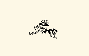 CS/C(=N\C(=O)c1cnc2c(c1)CCN2C(C)=O)Nc1ccc(F)c(C(F)(F)F)c1